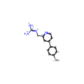 CC(C)(C)c1ccc(-c2ccnc(CN=C(N)N)c2)cc1